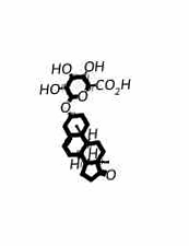 C[C@]12CC[C@H](OC3O[C@H](C(=O)O)[C@@H](O)[C@H](O)[C@H]3O)CC1=CC[C@@H]1[C@@H]2CC[C@]2(C)C(=O)CC[C@@H]12